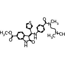 COC(=O)c1ccc2c(c1)NC(=O)/C2=C(\Nc1ccc(C(=O)N(C)CCN(C)C)cc1)c1ccsc1